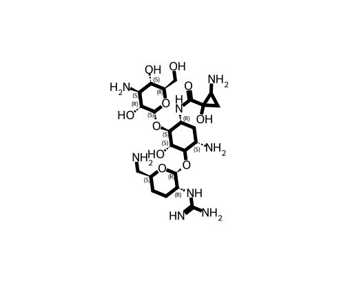 N=C(N)N[C@@H]1CC[C@@H](CN)O[C@@H]1OC1[C@@H](N)C[C@@H](NC(=O)C2(O)CC2N)[C@H](O[C@H]2O[C@H](CO)[C@@H](O)[C@H](N)[C@H]2O)[C@H]1O